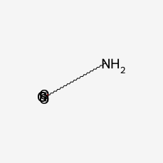 CCO[Si](CCCCCCCCCCCCCCCCCCCCCCCCCCCCCCCCCCCCN)(OCC)OCC